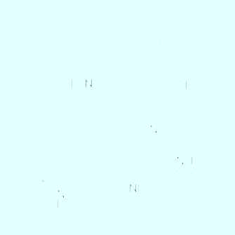 Nc1cccc(O)c1-c1cc(C2CCCNC2)c(N)c(N)n1